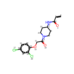 C=CC(=O)NC1CCN(C(=O)COc2ccc(Cl)cc2Cl)CC1